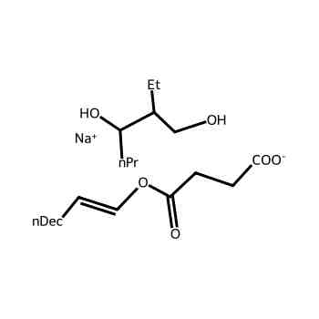 CCCC(O)C(CC)CO.CCCCCCCCCCC=COC(=O)CCC(=O)[O-].[Na+]